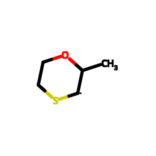 CC1[CH]SCCO1